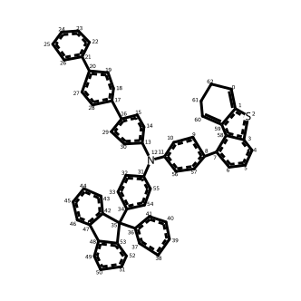 C1=c2sc3cccc(-c4ccc(N(c5ccc(-c6ccc(-c7ccccc7)cc6)cc5)c5ccc(C6(c7ccccc7)c7ccccc7-c7ccccc76)cc5)cc4)c3c2=CCC1